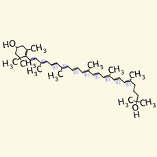 CC1=C(/C=C/C(C)=C/C=C/C(C)=C/C=C/C=C(C)/C=C/C=C(C)/C=C/C=C(\C)CCCC(C)(C)O)C(C)(C)CC(O)C1